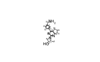 C[C@H]1[C@H](O)CN1c1nc2c(c(-c3ccc(CN)s3)n1)CCC2